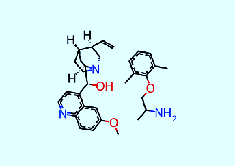 C=C[C@H]1C[N@]2CC[C@H]1C[C@@H]2[C@@H](O)c1ccnc2ccc(OC)cc12.Cc1cccc(C)c1OCC(C)N